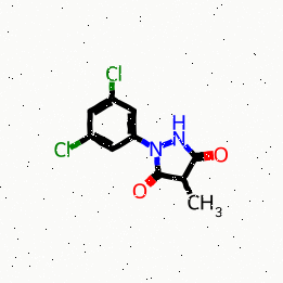 CC1C(=O)NN(c2cc(Cl)cc(Cl)c2)C1=O